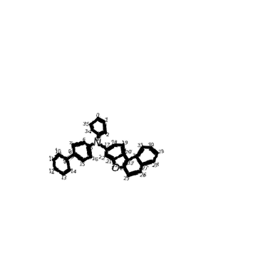 c1ccc(N(c2ccc(C3CCCCC3)cc2)c2ccc3c(c2)oc2ccc4ccccc4c23)cc1